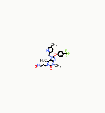 Cc1ccc(Cn2c(Oc3ccc(C(F)(F)F)cc3)nc3c2C(C)N(CCCN=O)C(=O)N3C)nc1